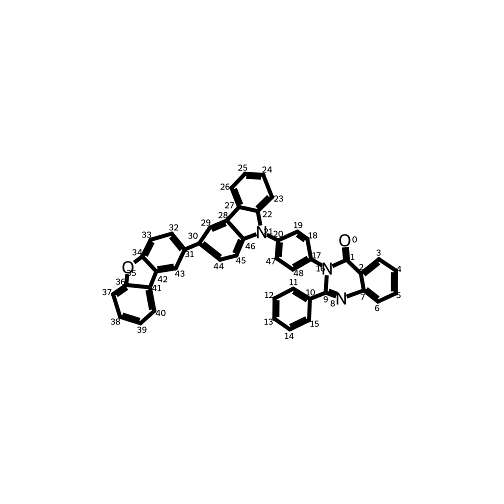 O=c1c2ccccc2nc(-c2ccccc2)n1-c1ccc(-n2c3ccccc3c3cc(-c4ccc5oc6ccccc6c5c4)ccc32)cc1